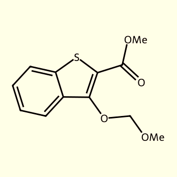 COCOc1c(C(=O)OC)sc2ccccc12